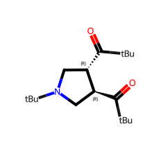 CC(C)(C)C(=O)[C@H]1CN(C(C)(C)C)C[C@@H]1C(=O)C(C)(C)C